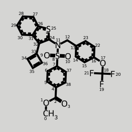 COC(=O)c1ccc(S(=O)(=O)N(Cc2ccc(OC(F)(F)F)cc2)c2sc3ccccc3c2C2=CC=C2)cc1